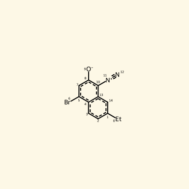 CCc1ccc2c(Br)cc([O-])c([N+]#N)c2c1